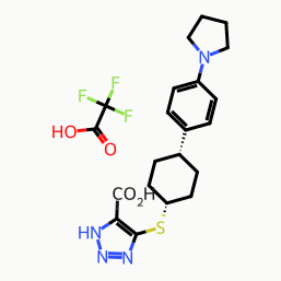 O=C(O)C(F)(F)F.O=C(O)c1[nH]nnc1S[C@H]1CC[C@@H](c2ccc(N3CCCC3)cc2)CC1